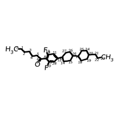 CCCCCCC(=O)c1c(F)cc(C2CCC(C3CCC(CCC)CC3)CC2)cc1F